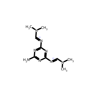 CN(C)/C=N/c1nc(N)nc(/N=C/N(C)C)n1